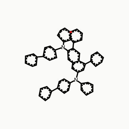 c1ccc(-c2ccc(N(c3ccccc3)c3cc(-c4ccccc4)c4cc(-c5ccccc5)c(N(c5ccccc5)c5ccc(-c6ccccc6)cc5)cc4c3)cc2)cc1